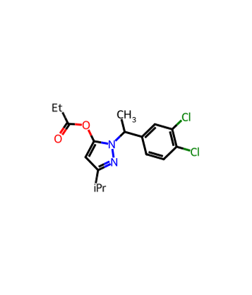 CCC(=O)Oc1cc(C(C)C)nn1C(C)c1ccc(Cl)c(Cl)c1